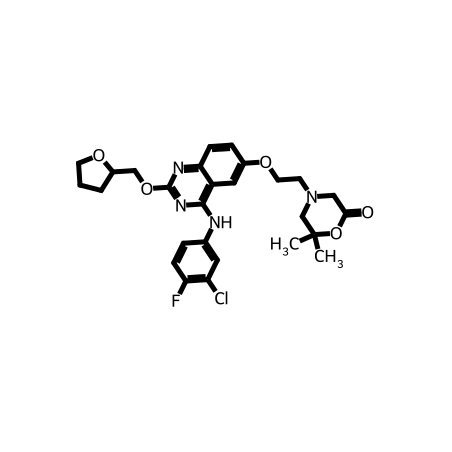 CC1(C)CN(CCOc2ccc3nc(OCC4CCCO4)nc(Nc4ccc(F)c(Cl)c4)c3c2)CC(=O)O1